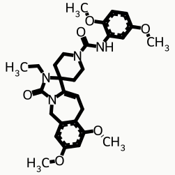 CCN1C(=O)N2Cc3cc(OC)cc(OC)c3CC=C2C12CCN(C(=O)Nc1cc(OC)ccc1OC)CC2